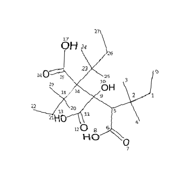 CCC(C)(C)C(C(=O)O)C(O)(C(=O)O)C(C(=O)O)(C(C)(C)CC)C(C)(C)CC